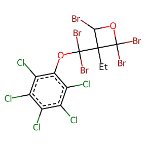 CCC1(C(Br)(Br)Oc2c(Cl)c(Cl)c(Cl)c(Cl)c2Cl)C(Br)OC1(Br)Br